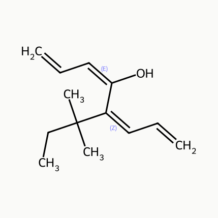 C=C/C=C(\C(O)=C/C=C)C(C)(C)CC